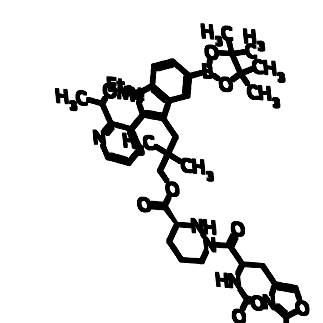 CCn1c(-c2cccnc2C(C)OC)c(CC(C)(C)COC(=O)[C@@H]2CCCN(C(=O)C(Cc3coc(Br)n3)NC(=O)OC(C)(C)C)N2)c2cc(B3OC(C)(C)C(C)(C)O3)ccc21